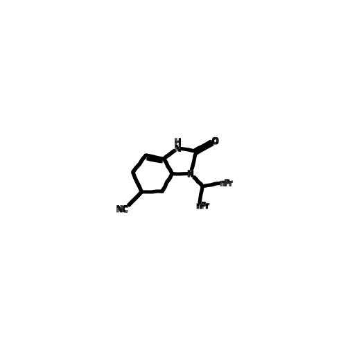 CCCC(CCC)N1C(=O)NC2=CCC(C#N)CC21